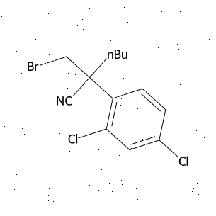 CCCCC(C#N)(CBr)c1ccc(Cl)cc1Cl